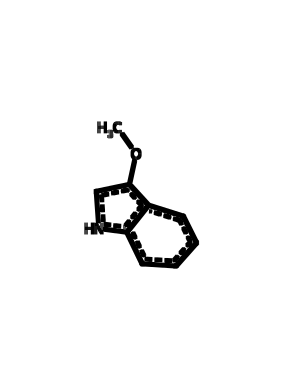 COc1c[nH]c2ccccc12